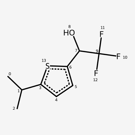 CC(C)c1ccc(C(O)C(F)(F)F)s1